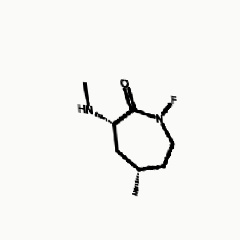 CN[C@H]1C[C@@H](C)CCN(F)C1=O